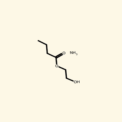 CCCC(=O)OCCO.N